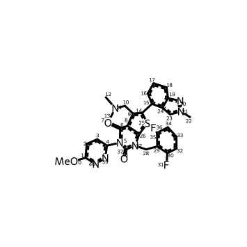 COc1ccc(-n2c(=O)c3c(CN(C)C)c(-c4cccc5nn(C)cc45)sc3n(Cc3c(F)cccc3F)c2=O)nn1